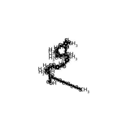 COCCOCCOCCOCCOCCOCCOCCC(=O)N(CCC(=O)O)CCC(=O)N[C@H](C(=O)N[C@@H](C)C(=O)Nc1ccc(COC(=O)NCc2ccc([C@@H](C)[C@H](O)[C@@H](C)[C@@H]3C/C=C/C(=O)N[C@H](Cc4ccc(OC)c(Cl)c4)C(=O)NCC(C)(C)C(=O)O[C@@H](CC(C)C)C(=O)O3)cc2)cc1)C(C)C